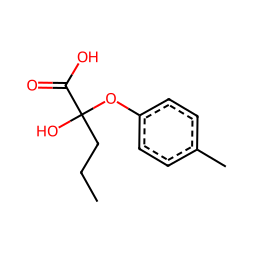 CCCC(O)(Oc1ccc(C)cc1)C(=O)O